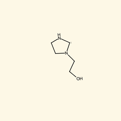 OCCN1[C]NCC1